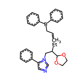 C=CCB(c1ccccc1)c1ccccc1.CCC(Cn1cncc1-c1ccccc1)C1OCCO1